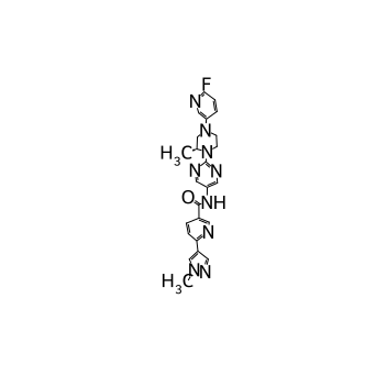 C[C@H]1CN(c2ccc(F)nc2)CCN1c1ncc(NC(=O)c2ccc(-c3cnn(C)c3)nc2)cn1